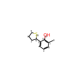 Cc1cccc(C2CCCS2)c1O